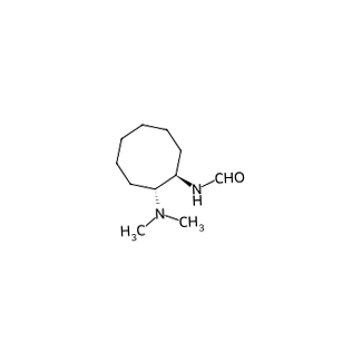 CN(C)[C@@H]1CCCCCC[C@H]1NC=O